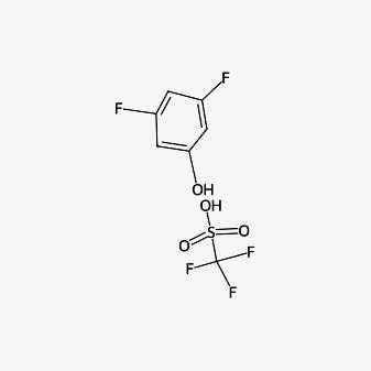 O=S(=O)(O)C(F)(F)F.Oc1cc(F)cc(F)c1